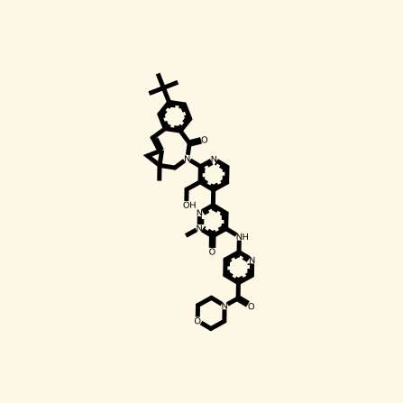 Cn1nc(-c2ccnc(N3CC4(C)C/C4=C\c4cc(C(C)(C)C)ccc4C3=O)c2CO)cc(Nc2ccc(C(=O)N3CCOCC3)cn2)c1=O